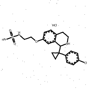 CCCS(=O)(=O)NCCOc1ccc2c(c1)C(C1(c3ccc(Cl)cc3)CC1)NCC2.Cl